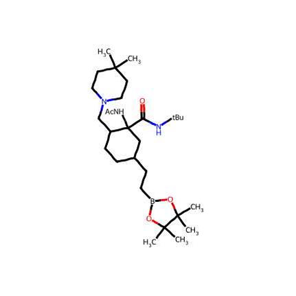 CC(=O)NC1(C(=O)NC(C)(C)C)CC(CCB2OC(C)(C)C(C)(C)O2)CCC1CN1CCC(C)(C)CC1